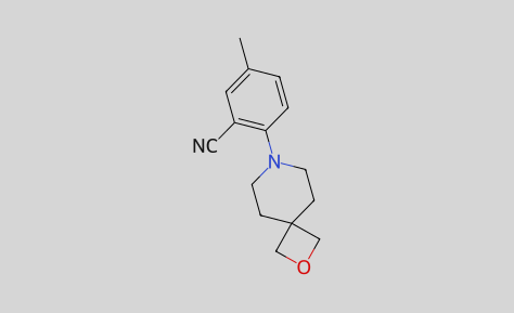 Cc1ccc(N2CCC3(CC2)COC3)c(C#N)c1